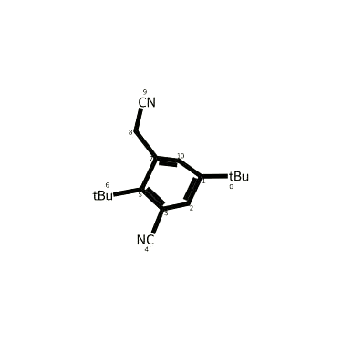 CC(C)(C)c1cc(C#N)c(C(C)(C)C)c(CC#N)c1